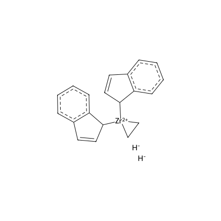 C1=C[CH]([Zr+2]2([CH]3C=Cc4ccccc43)[CH2][CH2]2)c2ccccc21.[H-].[H-]